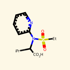 CCS(=O)(=O)N(c1ccccn1)C(C(=O)O)C(C)C